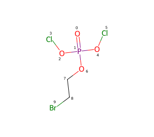 O=P(OCl)(OCl)OCCBr